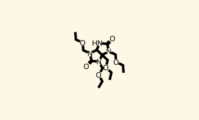 CCOCN1C(=O)N(COCC)C2(COCC)C1NC(=O)N2COCC